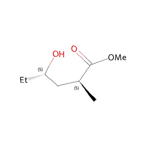 CC[C@H](O)C[C@H](C)C(=O)OC